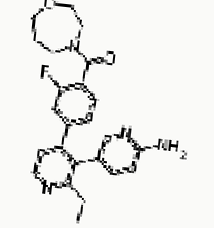 CCc1nccc(-c2ccc(C(=O)N3CCCOCC3)c(F)c2)c1-c1ccc(N)nc1